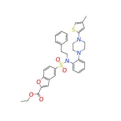 CCOC(=O)c1cc2cc(S(=O)(=O)N(CCc3ccccc3)c3ccccc3N3CCN(c4cc(C)cs4)CC3)ccc2o1